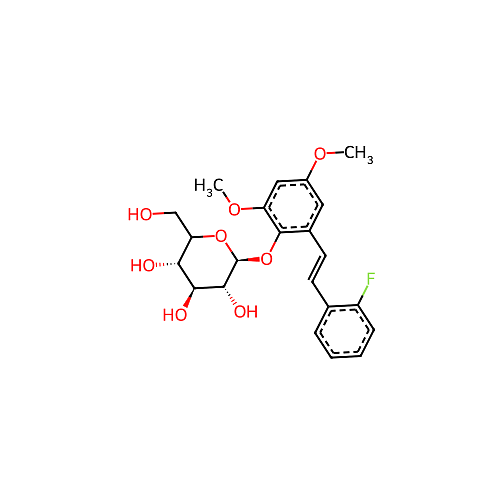 COc1cc(/C=C/c2ccccc2F)c(O[C@@H]2OC(CO)[C@@H](O)[C@H](O)[C@H]2O)c(OC)c1